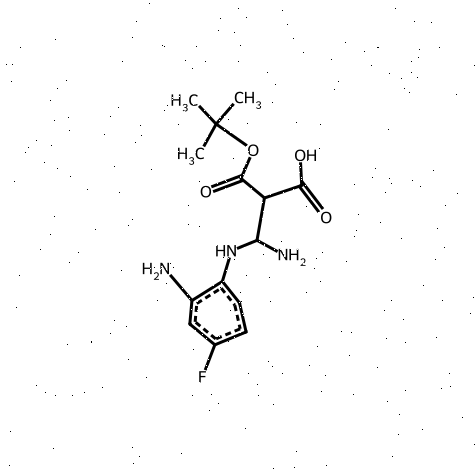 CC(C)(C)OC(=O)C(C(=O)O)C(N)Nc1ccc(F)cc1N